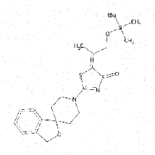 C/C(CO[Si](C)(C)C(C)(C)C)=C1\SC(N2CCC3(CC2)OCc2ccccc23)=NC1=O